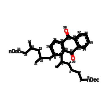 CCCCCCCCCCCCCCC(C)c1c(CC(C)CC(C)CCCCCCCCCCC)ccc2c1C(=O)c1ccccc1C2=O